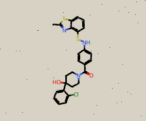 Cc1nc2c(SNc3ccc(C(=O)N4CCC(O)(c5ccccc5Cl)CC4)cc3)cccc2s1